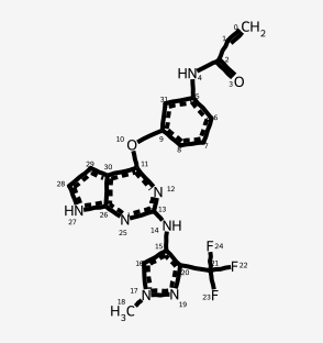 C=CC(=O)Nc1cccc(Oc2nc(Nc3cn(C)nc3C(F)(F)F)nc3[nH]ccc23)c1